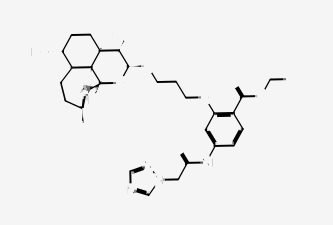 CCOC(=O)c1ccc(NC(=O)Cn2cncn2)cc1OCCCO[C@H]1O[C@@H]2O[C@@]3(C)CCC4[C@H](C)CC[C@@H]([C@H]1C)[C@]42OO3